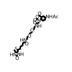 CC(=O)Nc1ccc2c(c1)c(=O)oc(=O)n2CC(=O)NCCOCCOCCNC(=O)CCCCC1SCC2NC(=O)NC21